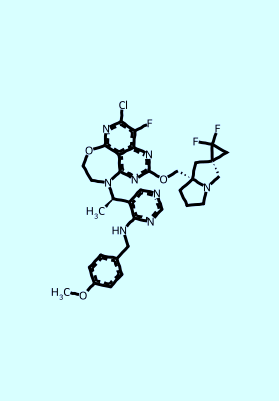 COc1ccc(CNc2ncncc2[C@@H](C)N2CCOc3nc(Cl)c(F)c4nc(OC[C@@]56CCCN5C[C@]5(CC5(F)F)C6)nc2c34)cc1